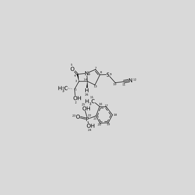 C[C@@H](O)[C@H]1C(=O)N2C=C(SCC#N)C[C@H]12.Cc1ccccc1P(=O)(O)O